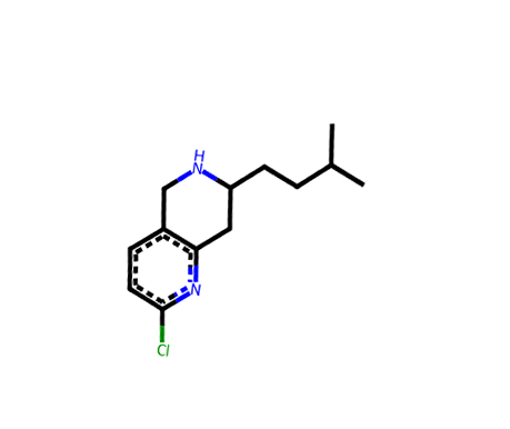 CC(C)CCC1Cc2nc(Cl)ccc2CN1